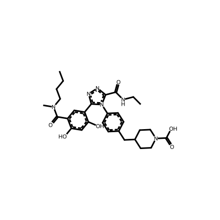 CCCCN(C)C(=O)c1cc(-c2nnc(C(=O)NCC)n2-c2ccc(CC3CCN(C(=O)O)CC3)cc2)c(O)cc1O